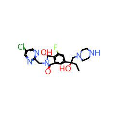 CCC(O)(CN1CCNCC1)c1cc(F)c2c(c1)C(=O)N(Cc1ncc(Cl)cn1)[C@@H]2O